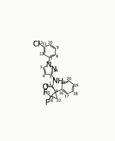 O=C(Nc1ccn(-c2cccc(Cl)c2)n1)[C@@]1(c2ccccc2)CC1(F)F